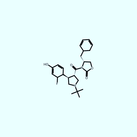 CC(C)(C)N1C[C@@H](C(=O)N2C(=O)OC[C@H]2CC2C=CC=CC2)[C@H](C2C=CC(O)=CC2F)C1